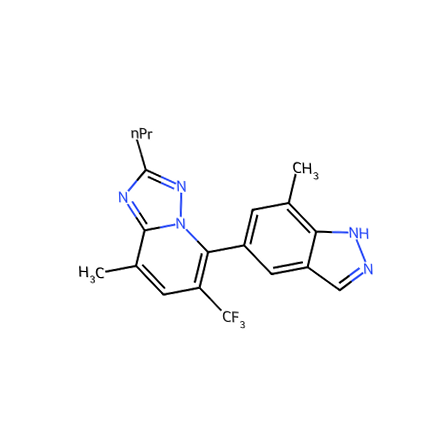 CCCc1nc2c(C)cc(C(F)(F)F)c(-c3cc(C)c4[nH]ncc4c3)n2n1